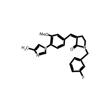 COc1cc(C=C2CCN(Cc3cccc(F)c3)C2=O)ccc1-n1cnc(C)c1